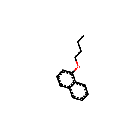 CCCCOc1cccc2ccccc12